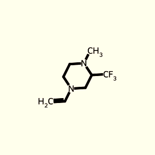 C=CN1CCN(C)C(C(F)(F)F)C1